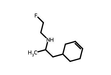 CC(CC1CC=CCC1)NCCF